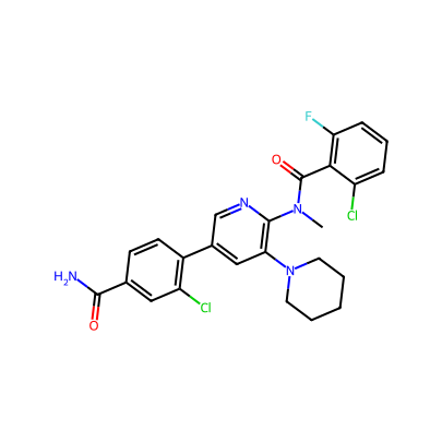 CN(C(=O)c1c(F)cccc1Cl)c1ncc(-c2ccc(C(N)=O)cc2Cl)cc1N1CCCCC1